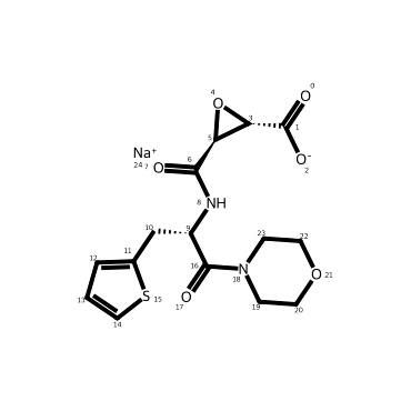 O=C([O-])[C@H]1O[C@@H]1C(=O)N[C@@H](Cc1cccs1)C(=O)N1CCOCC1.[Na+]